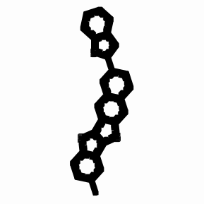 Cc1ccc2sc3c4cc5cc(-c6cc7ccccc7s6)ccc5cc4sc3c2c1